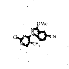 COc1nn(-c2nc(Cl)ncc2C(F)(F)F)c2ccc(C#N)cc12